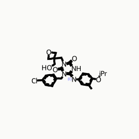 Cc1cc(/N=c2\[nH]c(=O)n(CC3(CO)COC3)c(=O)n2Cc2ccc(Cl)cc2)ccc1OC(C)C